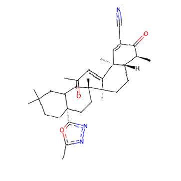 CC(=O)/C=C1/[C@@]2(C)C=C(C#N)C(=O)[C@@H](C)[C@@H]2CC[C@@]1(C)[C@]1(C)CC[C@@]2(c3nnc(C)o3)CCC(C)(C)CC2C1